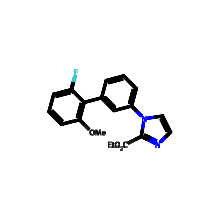 CCOC(=O)c1nccn1-c1cccc(-c2c(F)cccc2OC)c1